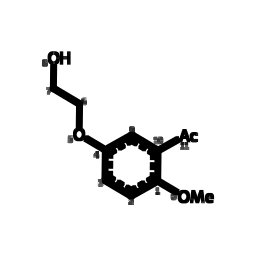 COc1ccc(OCCO)cc1C(C)=O